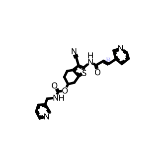 N#Cc1c(NC(=O)/C=C/c2cccnc2)sc2c1CCC(OC(=O)NCc1cccnc1)C2